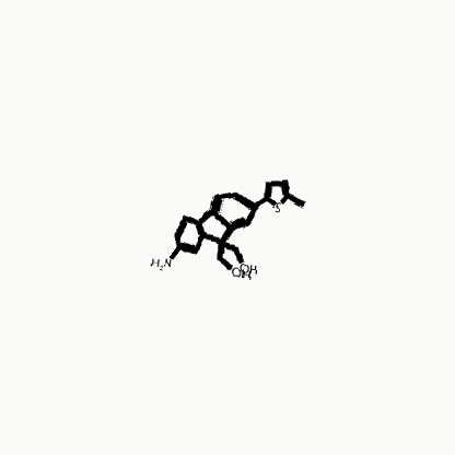 Cc1ccc(-c2ccc3c(c2)C(CO)(CO)c2cc(N)ccc2-3)s1